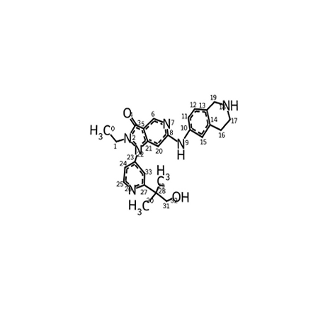 CCn1c(=O)c2cnc(Nc3ccc4c(c3)CCNC4)cc2n1-c1ccnc(C(C)(C)CO)c1